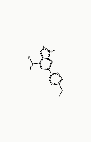 CCc1ccc(-c2cc(C(F)F)c3cnn(C)c3n2)cc1